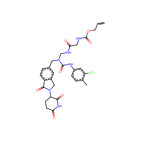 C=CCOC(=O)NCC(=O)NCN(Cc1ccc2c(c1)CN(C1CCC(=O)NC1=O)C2=O)C(=O)Nc1ccc(C)c(Cl)c1